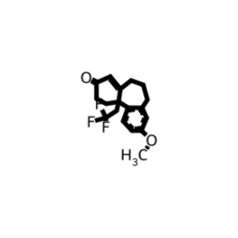 COc1ccc2c(c1)CCCC1=CC(=O)CCC12CC(F)(F)F